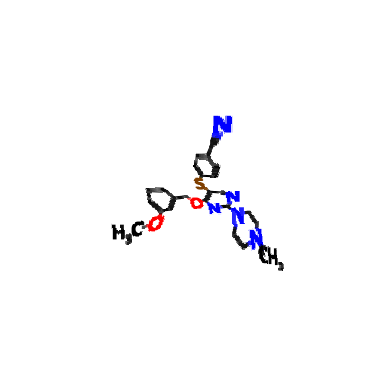 COc1cccc(COc2nc(N3CCN(C)CC3)ncc2Sc2ccc(C#N)cc2)c1